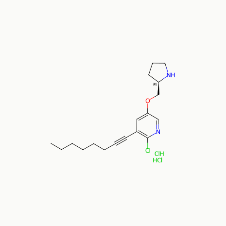 CCCCCCC#Cc1cc(OC[C@H]2CCCN2)cnc1Cl.Cl.Cl